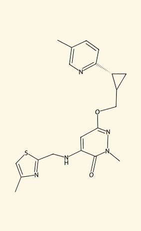 Cc1ccc([C@@H]2CC2COc2cc(NCc3nc(C)cs3)c(=O)n(C)n2)nc1